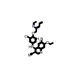 C=C/C=C(COc1ccc(Nc2c(C#N)cnc3cc(OCC)c(N)cc23)cc1Cl)\N=C/C